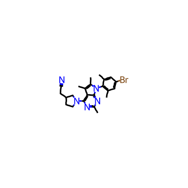 Cc1nc(N2CCC(CC#N)C2)c2c(C)c(C)n(-c3c(C)cc(Br)cc3C)c2n1